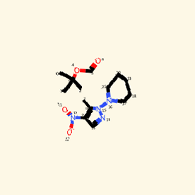 CC(C)(C)OC=O.Cc1c([N+](=O)[O-])cnn1N1CCCCC1